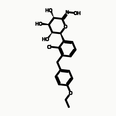 CCOc1ccc(Cc2cccc([C@@H]3OC(=NO)[C@@H](O)[C@H](O)[C@H]3O)c2Cl)cc1